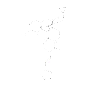 CN(C(=O)/C=C/c1ccco1)[C@@H]1CC[C@@]2(O)[C@H]3Cc4ccc(O)c5c4[C@@]2(CCC3CC2CC2)[C@H]1O5